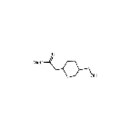 COC(=O)CC1CCC(CO)CC1